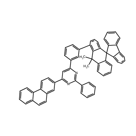 CC1(C)c2ccccc2C2(c3ccccc3-c3ccccc32)c2cccc(-c3cccc(-c4cc(-c5ccc6c(ccc7ccccc76)c5)nc(-c5ccccc5)n4)c3)c21